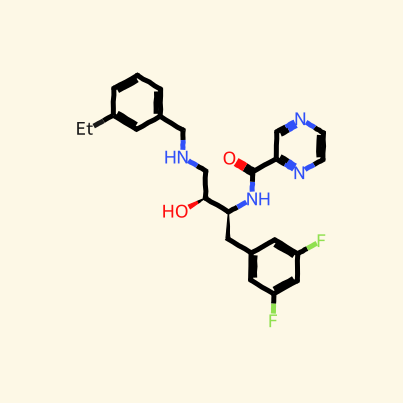 CCc1cccc(CNC[C@H](O)[C@H](Cc2cc(F)cc(F)c2)NC(=O)c2cnccn2)c1